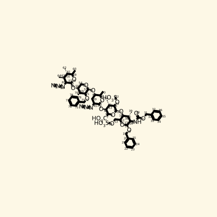 CC1O[C@H](O[C@@H]2C(C(=O)O)O[C@@H](O[C@@H]3C(COS(=O)(=O)O)O[C@H](OCc4ccccc4)C(NC(=O)OCc4ccccc4)[C@H]3C)C(OS(=O)(=O)O)[C@H]2C)C(N=[N+]=[N-])C[C@@H]1O[C@@H]1OC[C@@H](O[C@@H]2OC(C)[C@@H](C)[C@H](C)C2N=[N+]=[N-])[C@H](C)C1OCc1ccccc1